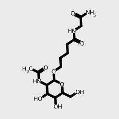 CC(=O)NC1C(OCCCCC(=O)NCC(N)=O)OC(CO)C(O)C1O